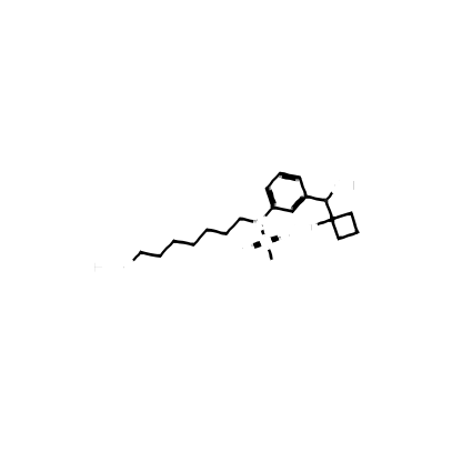 CCCC1(C(O)c2cccc(N(CCCCCCCC(=O)O)S(C)(=O)=O)c2)CCC1